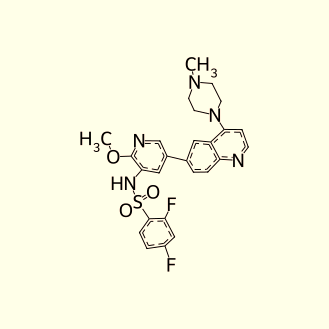 COc1ncc(-c2ccc3nccc(N4CCN(C)CC4)c3c2)cc1NS(=O)(=O)c1ccc(F)cc1F